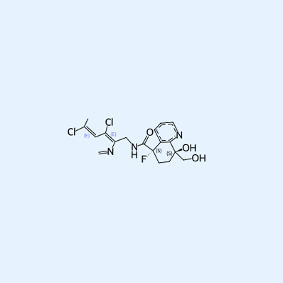 C=N/C(CNC(=O)[C@]1(F)CC[C@@](O)(CO)c2ncccc21)=C(Cl)\C=C(/C)Cl